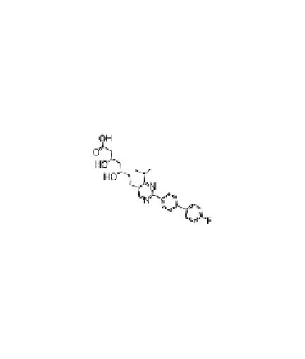 CC(C)c1nc(-c2ccc(-c3ccc(F)cc3)cc2)ncc1/C=C/C(O)CC(O)CC(=O)O